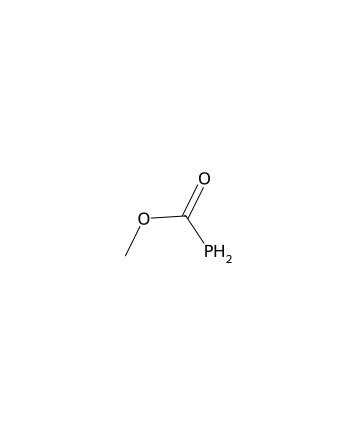 COC(=O)P